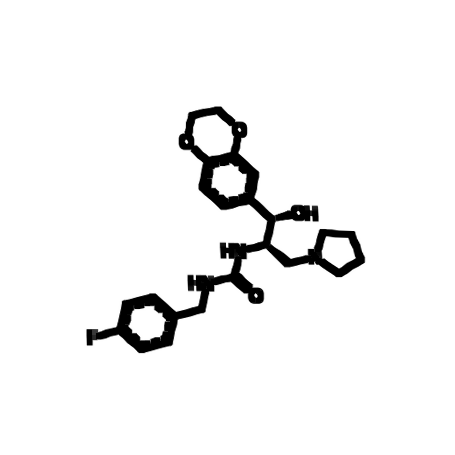 O=C(NCc1ccc(F)cc1)N[C@H](CN1CCCC1)[C@H](O)c1ccc2c(c1)OCCO2